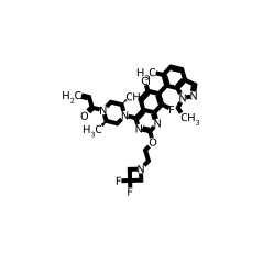 C=CC(=O)N1C[C@H](C)N(c2nc(OCCN3CC(F)(F)C3)nc3c(F)c(-c4c(C)ccc5cnn(CC)c45)c(Cl)cc23)C[C@H]1C